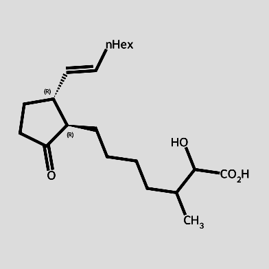 CCCCCCC=C[C@H]1CCC(=O)[C@@H]1CCCCC(C)C(O)C(=O)O